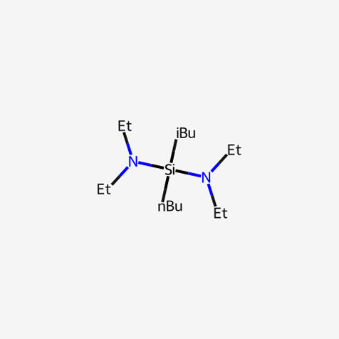 CCCC[Si](C(C)CC)(N(CC)CC)N(CC)CC